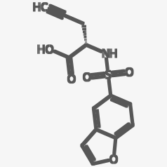 C#CC[C@H](NS(=O)(=O)c1ccc2occc2c1)C(=O)O